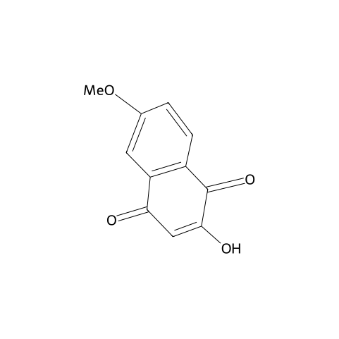 COc1ccc2c(c1)C(=O)C=C(O)C2=O